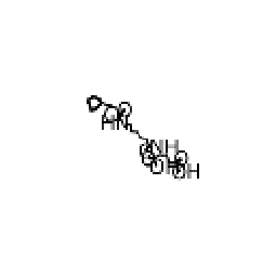 O=C(O)CCC(NC(=O)CCCCCNC(=O)OCc1ccccc1)C(=O)O